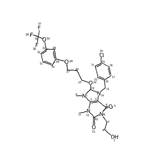 CN1c2c(c(=O)n(CCO)c(=O)n2C)N(Cc2ccc(Cl)cc2)C1OCCCOc1cccc(OC(F)(F)F)c1